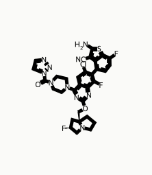 N#Cc1c(N)sc2c(F)ccc(-c3c(Cl)cc4c(N5CCN(C(=O)n6ccnn6)CC5)nc(OC[C@@]56CCCN5C[C@H](F)C6)nc4c3F)c12